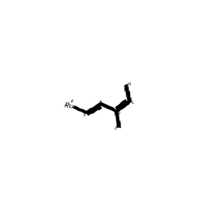 CC=C(C)C=[CH][Ru]